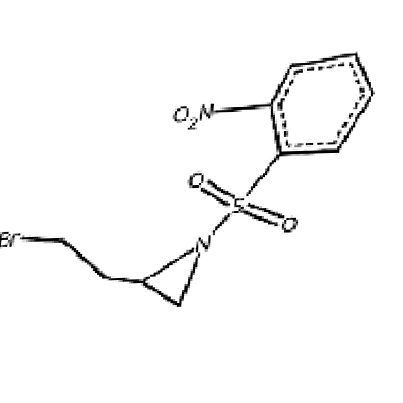 O=[N+]([O-])c1ccccc1S(=O)(=O)N1CC1CCBr